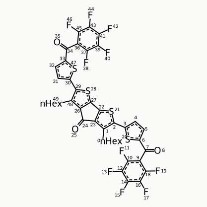 CCCCCCc1c(-c2ccc(C(=O)c3c(F)c(F)c(F)c(F)c3F)s2)sc2c1C(=O)c1c-2sc(-c2ccc(C(=O)c3c(F)c(F)c(F)c(F)c3F)s2)c1CCCCCC